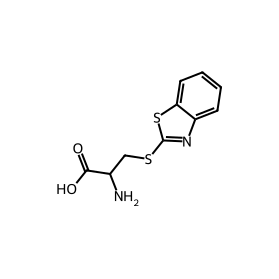 NC(CSc1nc2ccccc2s1)C(=O)O